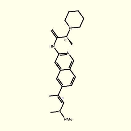 C=C(Nc1cc2cc(/C(C)=C/N(C)NC)ccc2cn1)[C@H](C)N1CCCCC1